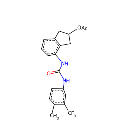 CC(=O)OC1Cc2cccc(NC(=O)Nc3ccc(C)c(C(F)(F)F)c3)c2C1